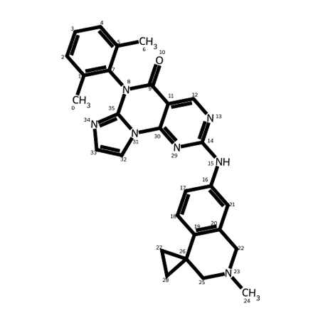 Cc1cccc(C)c1-n1c(=O)c2cnc(Nc3ccc4c(c3)CN(C)CC43CC3)nc2n2ccnc12